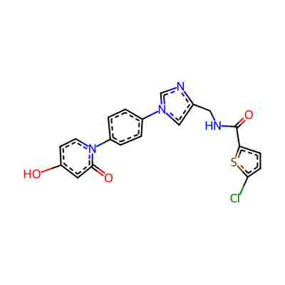 O=C(NCc1cn(-c2ccc(-n3ccc(O)cc3=O)cc2)cn1)c1ccc(Cl)s1